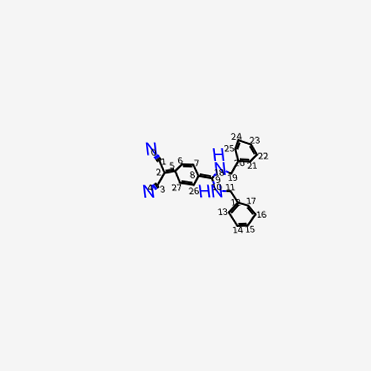 N#CC(C#N)=c1ccc(=C(NCc2ccccc2)NCc2ccccc2)cc1